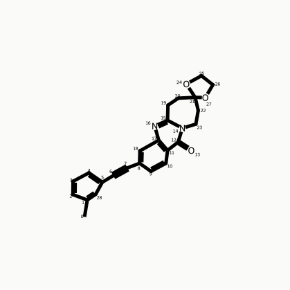 Cc1cccc(C#Cc2ccc3c(=O)n4c(nc3c2)CCC2(CC4)OCCO2)c1